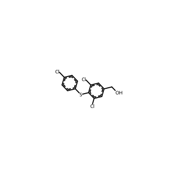 OCc1cc(Cl)c(Sc2ccc(Cl)cc2)c(Cl)c1